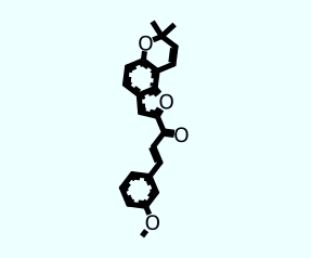 COc1cccc(/C=C/C(=O)c2cc3ccc4c(c3o2)C=CC(C)(C)O4)c1